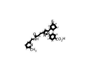 Cc1cccc(CNC(=O)CCc2cc(-c3cccc(F)c3)n(-c3ccc(C(=O)O)cc3)n2)n1